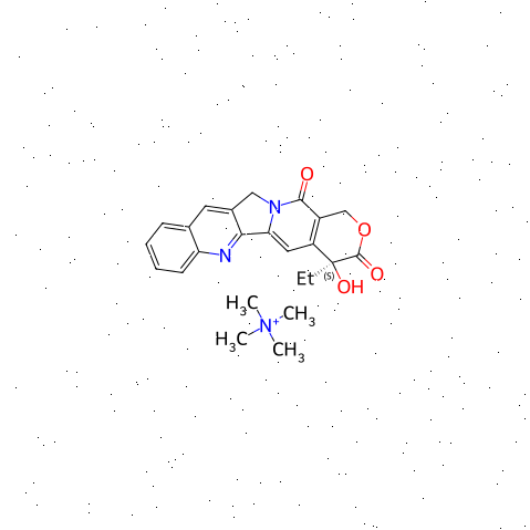 CC[C@@]1(O)C(=O)OCc2c1cc1n(c2=O)Cc2cc3ccccc3nc2-1.C[N+](C)(C)C